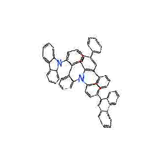 c1ccc(-c2ccc(N(c3ccc(-c4cc5ccccc5c5ccccc45)cc3)c3ccccc3-c3ccccc3-n3c4ccccc4c4ccccc43)c(-c3ccccc3)c2)cc1